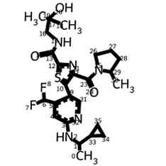 CC(Nc1cc(C(F)F)c(-c2sc(C(=O)NCC(C)(C)O)nc2C(=O)N2CCCC2C)cn1)C1CC1